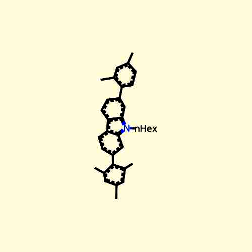 CCCCCCn1c2cc(-c3ccc(C)cc3C)ccc2c2ccc(-c3c(C)cc(C)cc3C)cc21